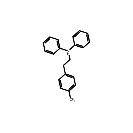 FC(F)(F)c1ccc(CC[SiH](c2ccccc2)c2ccccc2)cc1